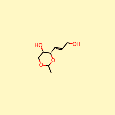 CC1OC[C@@H](O)[C@@H](/C=C/CO)O1